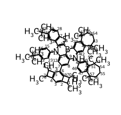 CC1c2cc3c(c(-c4cc5c6c(c4)N(c4ccc(C(C)(C)C)cc4)c4c(sc7ccc(C(C)(C)C)cc47)B6c4cc6c(cc4N5c4ccc5c(c4)C(C)(C)CCCC5(C)C)C(C)(C)CCCC6(C)C)c2C1C)C(C)C3C